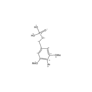 COc1cc(COP(=O)(O)O)cc(OC)c1C(C)C